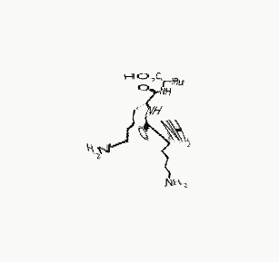 CC[C@H](C)[C@H](NC(=O)[C@@H](CCCCN)NC(=O)[C@H](N)CCCCN)C(=O)O